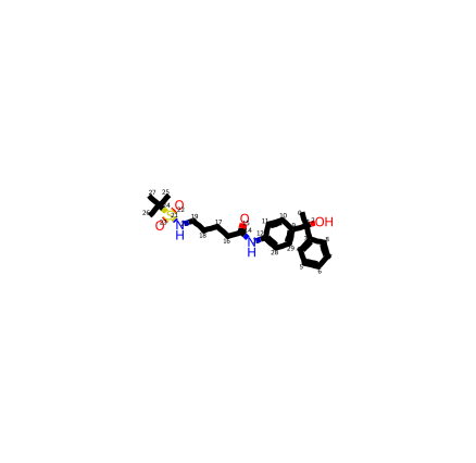 CC(O)(c1ccccc1)c1ccc(NC(=O)CCCCNS(=O)(=O)C(C)(C)C)cc1